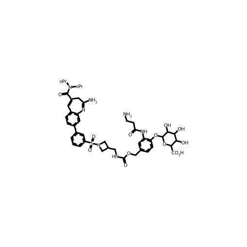 CCCN(CCC)C(=O)C1=Cc2ccc(-c3cccc(S(=O)(=O)N4CC(CNC(=O)OCc5ccc(OC6OC(C(=O)O)C(O)C(O)C6O)c(NC(=O)CCN)c5)C4)c3)cc2N=C(N)C1